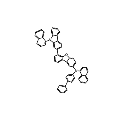 c1ccc(-c2ccc(N(c3ccc4oc5c(-c6ccc7c8ccccc8n(-c8cccc9ccccc89)c7c6)cccc5c4c3)c3cccc4ccccc34)cc2)cc1